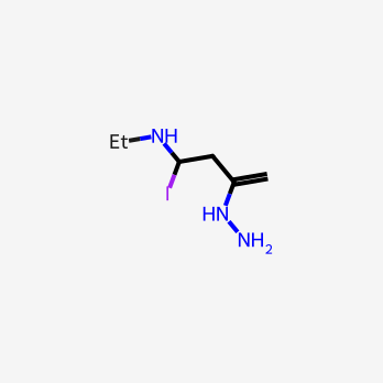 C=C(CC(I)NCC)NN